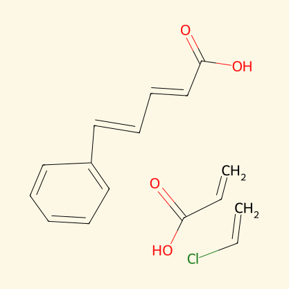 C=CC(=O)O.C=CCl.O=C(O)C=CC=Cc1ccccc1